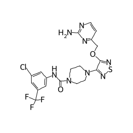 Nc1nccc(COc2nsnc2N2CCN(C(=O)Nc3cc(Cl)cc(C(F)(F)F)c3)CC2)n1